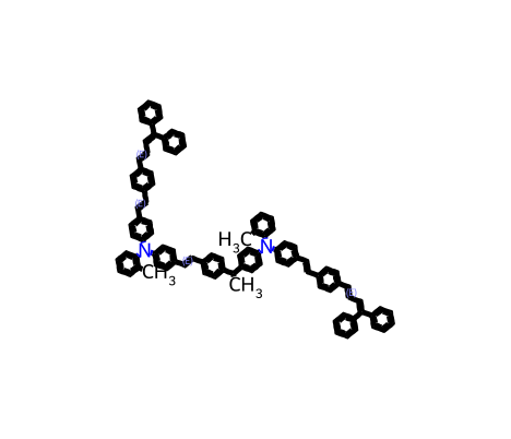 Cc1ccccc1N(c1ccc(/C=C/c2ccc(/C=C/C=C(c3ccccc3)c3ccccc3)cc2)cc1)c1ccc(/C=C/c2ccc(C(C)c3ccc(N(c4ccc(C=Cc5ccc(/C=C/C=C(c6ccccc6)c6ccccc6)cc5)cc4)c4ccccc4C)cc3)cc2)cc1